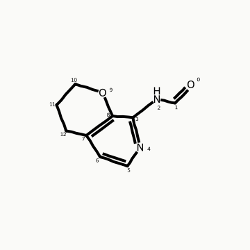 O=CNc1nccc2c1OCCC2